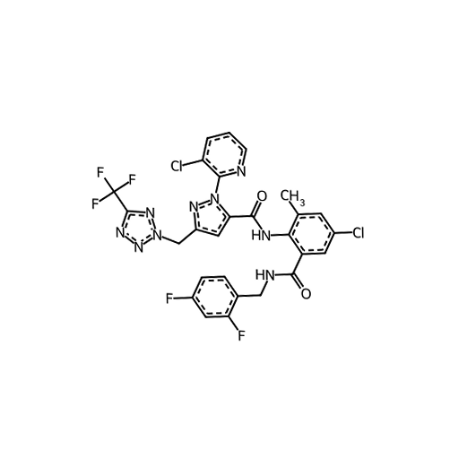 Cc1cc(Cl)cc(C(=O)NCc2ccc(F)cc2F)c1NC(=O)c1cc(Cn2nnc(C(F)(F)F)n2)nn1-c1ncccc1Cl